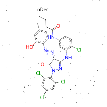 CCCCCCCCCCCCCC(=O)Nc1ccc(Cl)c(NC2=NN(c3c(Cl)cc(Cl)cc3Cl)C(=O)C2/N=N/c2ccc(C)cc2O)c1